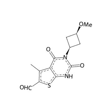 CO[C@H]1C[C@@H](n2c(=O)[nH]c3sc(C=O)c(C)c3c2=O)C1